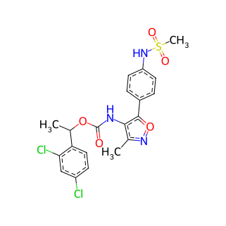 Cc1noc(-c2ccc(NS(C)(=O)=O)cc2)c1NC(=O)OC(C)c1ccc(Cl)cc1Cl